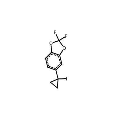 FC1(F)Oc2ccc(C3(I)CC3)cc2O1